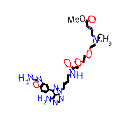 COC(=O)/C=C/CN(C)CCOCCOCC(=O)NCCCCn1nc(-c2ccc3oc(N)nc3c2)c2c(N)ncnc21